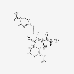 CCOc1ccc(CCC[C@@H](C(=O)N2CCC[C@@H](CC(C)C)C2)[C@H](O)C(=O)NO)cc1